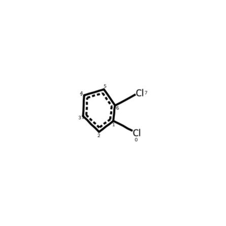 Clc1c[c][c]cc1Cl